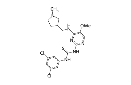 COc1cnc(NC(=S)Nc2cc(Cl)cc(Cl)c2)nc1NCC1CCN(C)C1